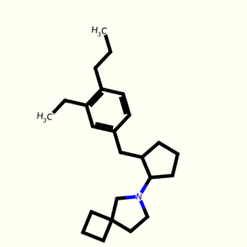 CCCc1ccc(CC2CCCC2N2CCC3(CCC3)C2)cc1CC